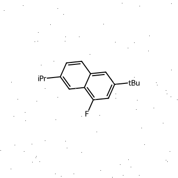 CC(C)c1ccc2cc(C(C)(C)C)cc(F)c2c1